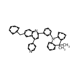 CC1(C)c2ccccc2N(c2cccc(-c3cc(-c4ccncc4)c4cc(Cc5ccccc5)ccc4n3)c2)c2ccccc21